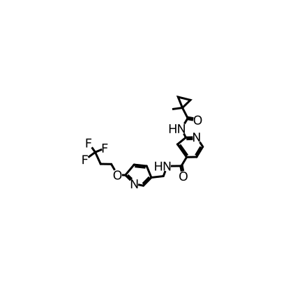 CC1(C(=O)Nc2cc(C(=O)NCc3ccc(OCCC(F)(F)F)nc3)ccn2)CC1